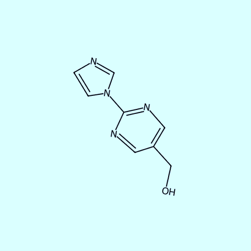 OCc1cnc(-n2ccnc2)nc1